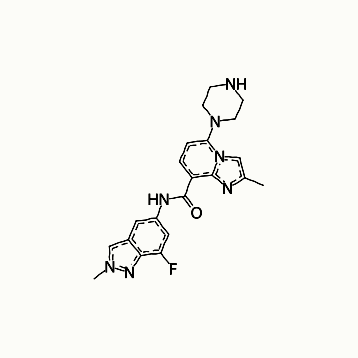 Cc1cn2c(N3CCNCC3)ccc(C(=O)Nc3cc(F)c4nn(C)cc4c3)c2n1